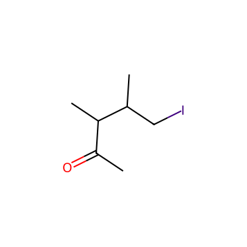 CC(=O)C(C)C(C)CI